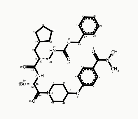 CN(C)C(=O)c1ccc(OC2CCN(C(=O)[C@@H](NC(=O)[C@@H](CNC(=O)OCc3ccccc3)CC3CCCC3)C(C)(C)C)CC2)cc1